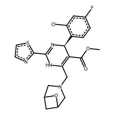 COC(=O)C1=C(CN2CC3CC(C2)O3)NC(c2nccs2)=N[C@H]1c1ccc(F)cc1Cl